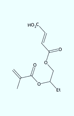 C=C(C)C(=O)OC(CC)COC(=O)C=CC(=O)O